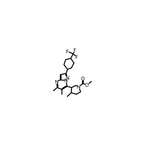 COC(=O)N1CCC(C)C(c2c(C)c(C)nc3cc(C4CCC(C(F)(F)F)CC4)nn23)C1